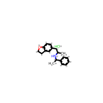 CC(Cc1ccc2c(c1)CCO2)NC(C)c1ccccc1.Cl